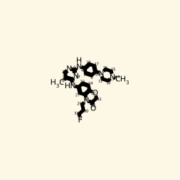 Cc1cnc(Nc2ccc(N3CCN(C)CC3)cc2)nc1Nc1ccc2c(c1)N(CCCF)C(=O)CO2